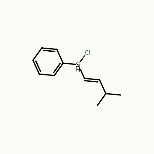 CC(C)C=C[SiH](Cl)c1ccccc1